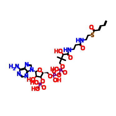 C=CC=CC(=O)SCCNC(=O)CCNC(=O)[C@H](O)C(C)(C)COP(=O)(O)OP(=O)(O)OC[C@H]1O[C@@H](n2cnc3c(N)ncnc32)[C@H](O)[C@@H]1OP(=O)(O)O